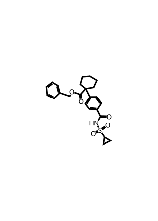 O=C(NS(=O)(=O)C1CC1)c1ccc(C2(C(=O)OCc3ccccc3)CCCCC2)cc1